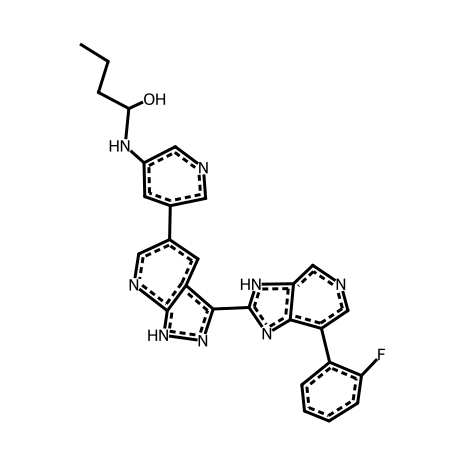 CCCC(O)Nc1cncc(-c2cnc3[nH]nc(-c4nc5c(-c6ccccc6F)cncc5[nH]4)c3c2)c1